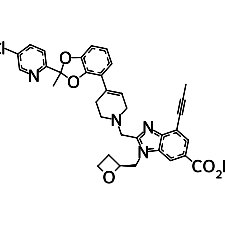 CC#Cc1cc(C(=O)O)cc2c1nc(CN1CC=C(c3cccc4c3OC(C)(c3ccc(Cl)cn3)O4)CC1)n2C[C@@H]1CCO1